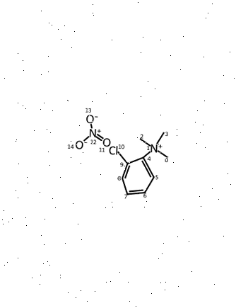 C[N+](C)(C)c1ccccc1Cl.O=[N+]([O-])[O-]